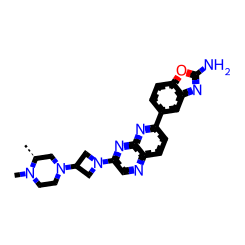 C[C@@H]1CN(C2CN(c3cnc4ccc(-c5ccc6oc(N)nc6c5)nc4n3)C2)CCN1C